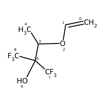 C=COC(C)C(O)(C(F)(F)F)C(F)(F)F